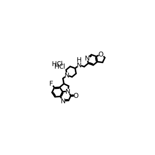 Cl.Cl.O=c1cnc2ccc(F)c3c2n1CC3CN1CCC(NCc2cc3c(cn2)OCC3)CC1